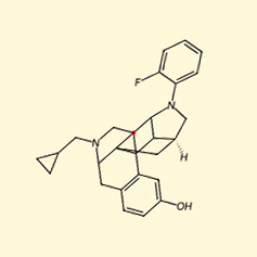 Oc1ccc2c(c1)C13CCN(CC4CC4)C(C2)C12CCC1C3[C@@H](CN1c1ccccc1F)C2